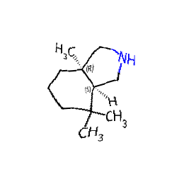 CC1(C)CCC[C@@]2(C)CNC[C@@H]12